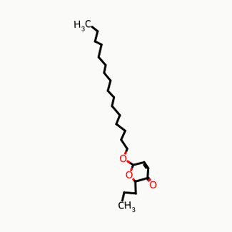 CCCCCCCCCCCCCCCCOC1C=CC(=O)C(CCC)O1